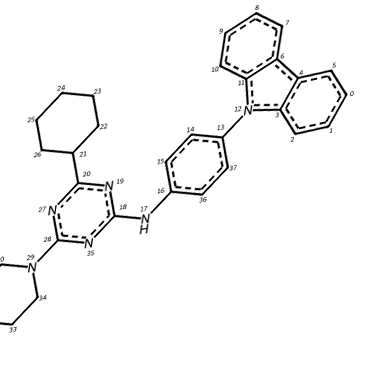 c1ccc2c(c1)c1ccccc1n2-c1ccc(Nc2nc(C3CCCCC3)nc(N3CCCCC3)n2)cc1